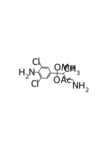 COC(OC(C)=O)(c1cc(Cl)c(N)c(Cl)c1)C(C)CCN